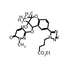 CCOC(=O)CCCn1nnnc1-c1ccc2c(c1)C(Oc1ccc(=O)n(C)n1)C(C)(O)C(C)(C)O2